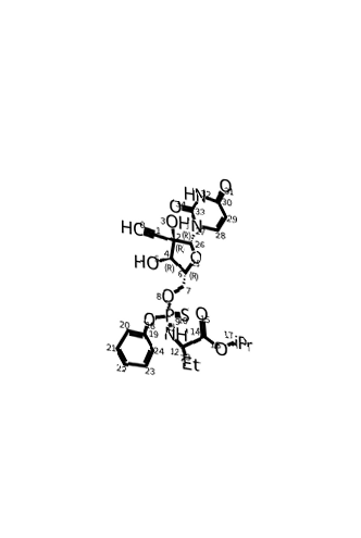 C#C[C@@]1(O)[C@H](O)[C@@H](COP(=S)(NC(CC)C(=O)OC(C)C)Oc2ccccc2)O[C@H]1n1ccc(=O)[nH]c1=O